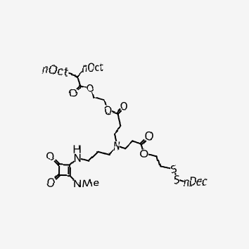 CCCCCCCCCCSSCCOC(=O)CCN(CCCNc1c(NC)c(=O)c1=O)CCC(=O)OCCOC(=O)C(CCCCCCCC)CCCCCCCC